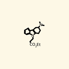 CCOC(=O)CCn1c2c(c3ccccc31)CC(N(C)C)CC2